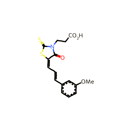 COc1cccc(C=CC=C2SC(=S)N(CCC(=O)O)C2=O)c1